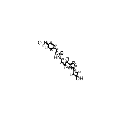 CC(C)N(CCNC(=O)OCc1ccc([N+](=O)[O-])cc1)C(=O)c1csc(N2CC(O)C2)n1